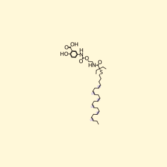 CC/C=C\C/C=C\C/C=C\C/C=C\C/C=C\C/C=C\CCCSC(CC)(CC)C(=O)NCCOC(=O)Nc1ccc(O)c(C(=O)O)c1